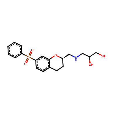 O=S(=O)(c1ccccc1)c1ccc2c(c1)O[C@@H](CNC[C@H](O)CO)CC2